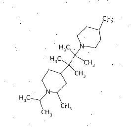 CC1CCN(C(C)(C)C(C)(C)C2CCN(C(C)C)C(C)C2)CC1